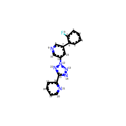 Fc1ccccc1-c1cncc(-n2nnc(-c3ccccn3)n2)c1